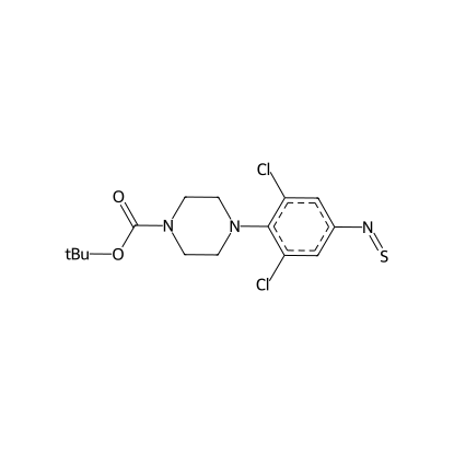 CC(C)(C)OC(=O)N1CCN(c2c(Cl)cc(N=S)cc2Cl)CC1